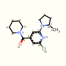 C[C@@H]1CCCN1c1cc(C(=O)N2CCCCC2)cc(Cl)n1